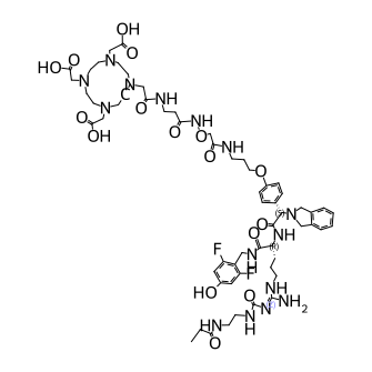 CCC(=O)NCCNC(=O)/N=C(/N)NCCC[C@@H](NC(=O)[C@H](c1ccc(OCCCNC(=O)CONC(=O)CCNC(=O)CN2CCN(CC(=O)O)CCN(CC(=O)O)CCN(CC(=O)O)CC2)cc1)N1Cc2ccccc2C1)C(=O)NCc1c(F)cc(O)cc1F